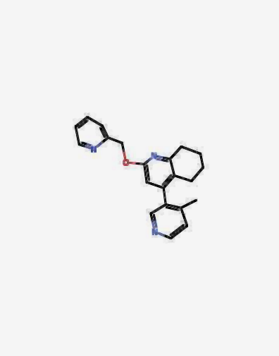 Cc1ccncc1-c1cc(OCc2ccccn2)nc2c1CCCC2